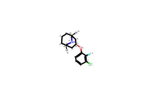 Fc1c(Cl)cccc1O[C@@H]1C[C@H]2CCC[C@@H](C1)N2